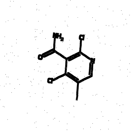 NC(=O)c1c(Cl)ncc(I)c1Cl